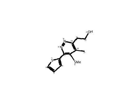 CSc1c(-c2cccs2)nnc(CCO)c1C